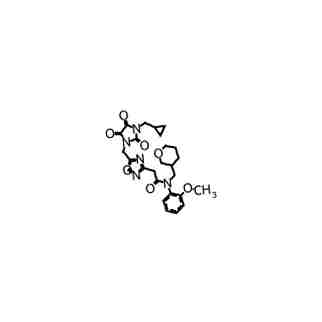 COc1ccccc1N(CC1CCCOC1)C(=O)Cc1noc(CN2C(=O)C(=O)N(CC3CC3)C2=O)n1